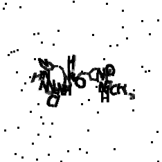 Cc1cc(C(=O)N2CCC(CC(=O)Nc3ccc4cc3CCc3cncc(c3)Nc3ncc(Cl)c(n3)N4)CC2)n[nH]1